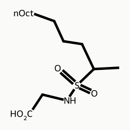 CCCCCCCCCCCC(C)S(=O)(=O)NCC(=O)O